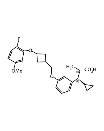 COc1ccc(F)c(OC2CC(COc3cccc([C@H](C4CC4)[C@H](C)C(=O)O)c3)C2)c1